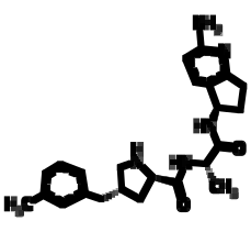 Cc1cccc(C[C@@H]2CN[C@@H](C(=O)N[C@@H](C)C(=O)N[C@@H]3CCc4nc(N)ccc43)C2)c1